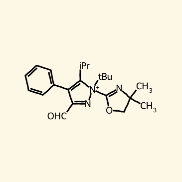 CC(C)C1=C(c2ccccc2)C(C=O)=N[N+]1(C1=NC(C)(C)CO1)C(C)(C)C